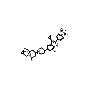 CCC1CC(N2CCC(c3cc(F)c4nc(-c5ccc(S(C)(=O)=O)cc5)n(C5CC5)c4c3)CC2)CC(C)N1CC1CC1